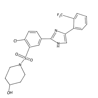 O=S(=O)(c1cc(-c2nc(-c3ccccc3C(F)(F)F)c[nH]2)ccc1Cl)N1CCC(O)CC1